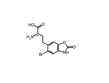 N[C@H](CCc1cc2oc(=O)[nH]c2cc1Br)C(=O)O